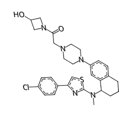 CN(c1nc(-c2ccc(Cl)cc2)cs1)C1CCCc2ccc(N3CCN(CC(=O)N4CC(O)C4)CC3)cc21